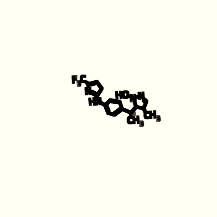 CC1C=NN(O)C1[C@H](C)c1ccc(NC2=NC(C(F)(F)F)=CC2)cc1